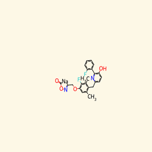 Cc1cc(OC[C]2=NO[C](=O)[Na]2)c(F)c(C)c1Cc1ccc(O)c(-c2ccccc2F)n1